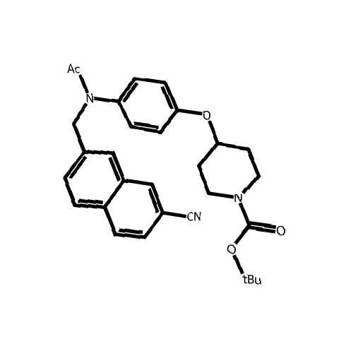 CC(=O)N(Cc1ccc2ccc(C#N)cc2c1)c1ccc(OC2CCN(C(=O)OC(C)(C)C)CC2)cc1